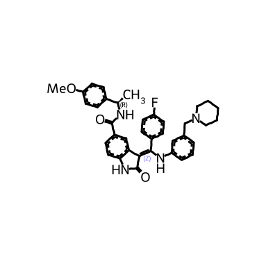 COc1ccc([C@@H](C)NC(=O)c2ccc3c(c2)/C(=C(/Nc2cccc(CN4CCCCC4)c2)c2ccc(F)cc2)C(=O)N3)cc1